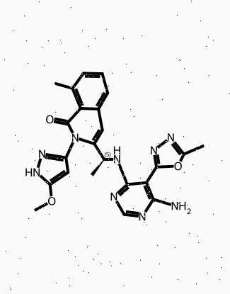 COc1cc(-n2c([C@H](C)Nc3ncnc(N)c3-c3nnc(C)o3)cc3cccc(C)c3c2=O)n[nH]1